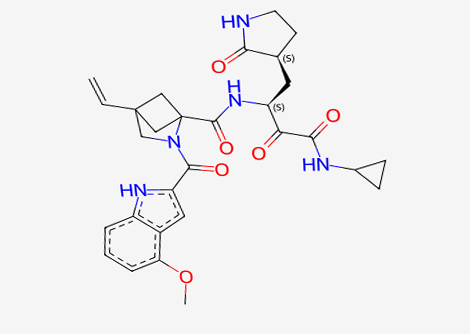 C=CC12CN(C(=O)c3cc4c(OC)cccc4[nH]3)C(C(=O)N[C@@H](C[C@@H]3CCNC3=O)C(=O)C(=O)NC3CC3)(C1)C2